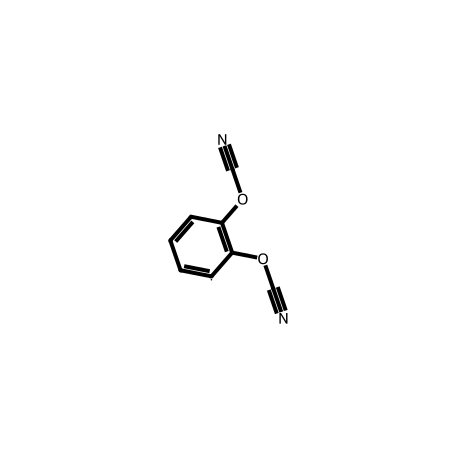 N#COc1[c]cccc1OC#N